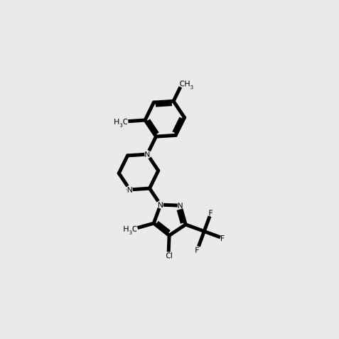 Cc1ccc(N2CC[N]C(n3nc(C(F)(F)F)c(Cl)c3C)C2)c(C)c1